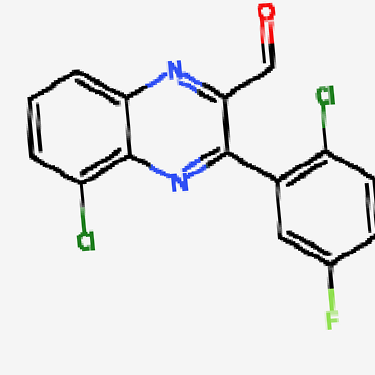 O=Cc1nc2cccc(Cl)c2nc1-c1cc(F)ccc1Cl